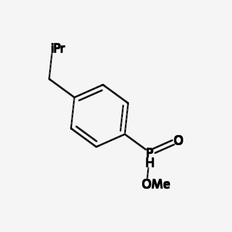 CO[PH](=O)c1ccc(CC(C)C)cc1